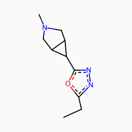 CCc1nnc(C2C3CN(C)CC32)o1